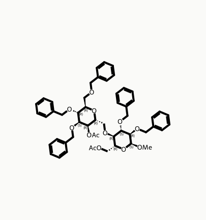 CO[C@H]1O[C@H](COC(C)=O)[C@@H](OC[C@H]2O[C@H](COCc3ccccc3)[C@@H](OCc3ccccc3)[C@H](OCc3ccccc3)[C@@H]2OC(C)=O)[C@H](OCc2ccccc2)[C@H]1OCc1ccccc1